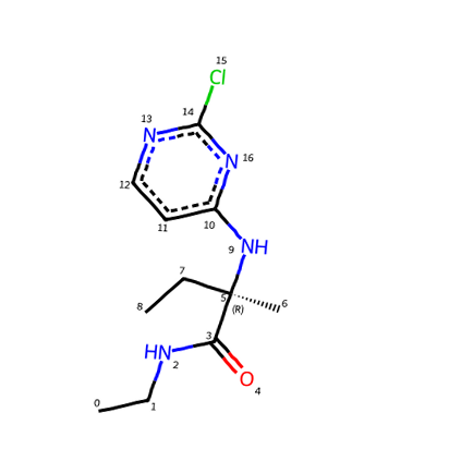 CCNC(=O)[C@@](C)(CC)Nc1ccnc(Cl)n1